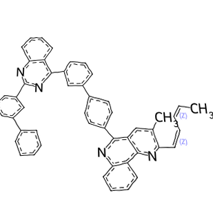 C/C=C\C=C/c1nc2c(cc1C)c(-c1ccc(-c3cccc(-c4nc(-c5cccc(-c6ccccc6)c5)nc5ccccc45)c3)cc1)nc1ccccc12